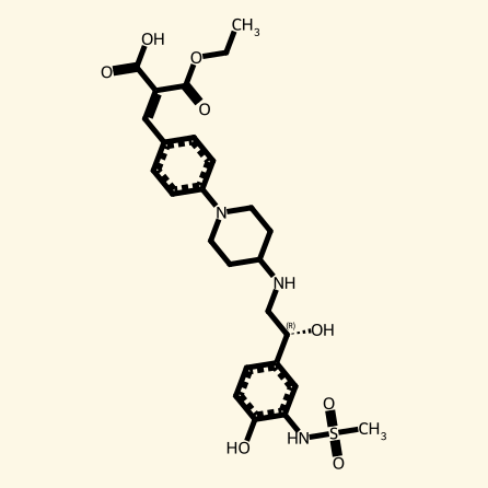 CCOC(=O)C(=Cc1ccc(N2CCC(NC[C@H](O)c3ccc(O)c(NS(C)(=O)=O)c3)CC2)cc1)C(=O)O